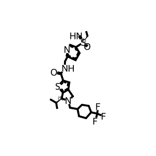 CC[S@@](=N)(=O)c1ccc(CNC(=O)c2cc3c(s2)[C@H](C(C)C)N(CC2CCC(C(F)(F)F)CC2)C3)nc1